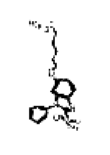 CC(C)S(=O)(=O)c1nc2ccc(OCCCCCC(=O)O)cc2n1-c1ccccc1